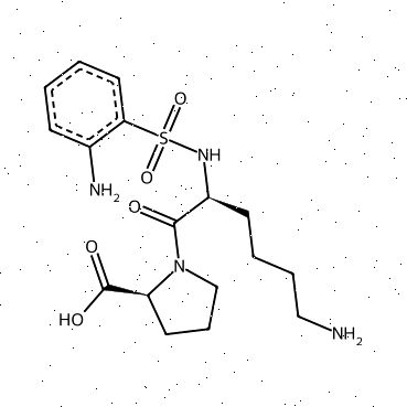 NCCCC[C@H](NS(=O)(=O)c1ccccc1N)C(=O)N1CCC[C@H]1C(=O)O